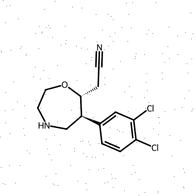 N#CC[C@H]1OCCNC[C@@H]1c1ccc(Cl)c(Cl)c1